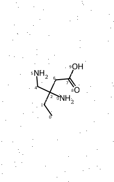 CCC(N)(CN)CC(=O)O